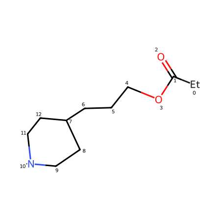 CCC(=O)OCCCC1CC[N]CC1